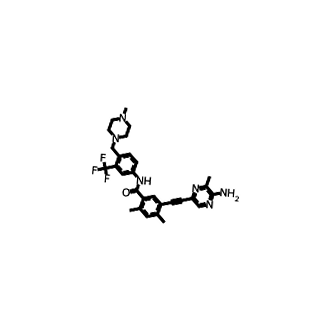 Cc1cc(C)c(C(=O)Nc2ccc(CN3CCN(C)CC3)c(C(F)(F)F)c2)cc1C#Cc1cnc(N)c(C)n1